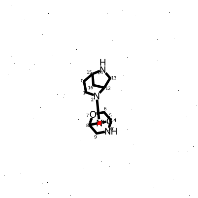 C1CN(N2CC3COC(CN3)C2)C2CNC1C2